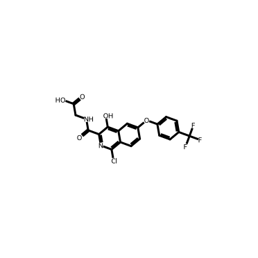 O=C(O)CNC(=O)c1nc(Cl)c2ccc(Oc3ccc(C(F)(F)F)cc3)cc2c1O